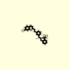 C[C@@H](CCc1ccccc1C(C)(C)O)c1cccc(CCc2ccc3ccc(Cl)cc3n2)c1